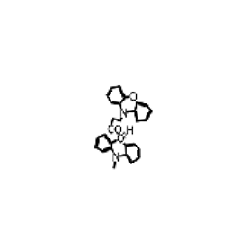 CN1c2ccccc2Oc2ccccc21.O=C(O)CCN1c2ccccc2Oc2ccccc21